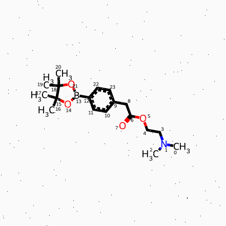 CN(C)CCOC(=O)Cc1ccc(B2OC(C)(C)C(C)(C)O2)cc1